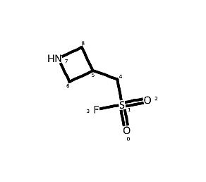 O=S(=O)(F)CC1CNC1